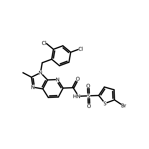 Cc1nc2ccc(C(=O)NS(=O)(=O)c3ccc(Br)s3)nc2n1Cc1ccc(Cl)cc1Cl